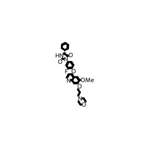 COc1cc2c(Oc3ccc(N4C(=O)N[C@H](C5C=CC=CC5)C4=O)cc3F)ccnc2cc1OCCCN1CCOCC1